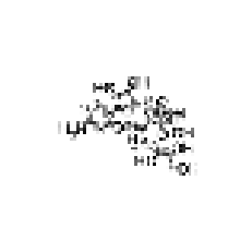 C[C@H]1C([C@H](O)[C@H](O)CO)OC(C(=O)O)(P(=O)(O)OC[C@H]2O[C@@H](n3ccc(N)nc3=O)C(O)[C@H]2O)C[C@H]1O